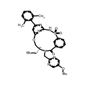 CCC(C)Oc1cnc(CN2C(=O)c3cccc(c3)S(=O)(=O)Nc3nc(cc(-c4c(C)cccc4C)n3)OC[C@H]2CC(C)(C)C)nc1